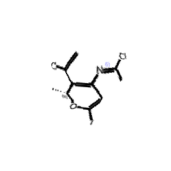 C=C(Cl)C1=C(/N=C(\C)Cl)C=C(I)O[C@@H]1C